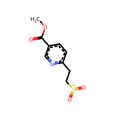 COC(=O)c1ccc(CC[SH](=O)=O)nc1